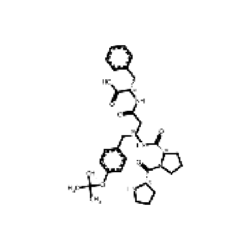 CC(C)(C)Oc1ccc(C[C@@H](CC(=O)N[C@@H](Cc2ccccc2)C(=O)O)NC(=O)[C@@H]2CCCN2C(=O)[C@@H]2CCCN2)cc1